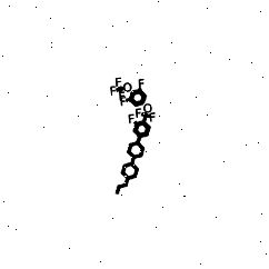 CCCC1CCC(C2CCC(c3ccc(C(F)(F)Oc4cc(F)c(OC(F)(F)F)c(F)c4)c(F)c3)CC2)CC1